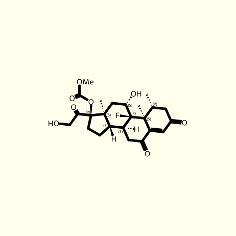 COC(=O)O[C@]1(C(=O)CO)CC[C@H]2[C@@H]3CC(=O)C4=CC(=O)C[C@@H](C)[C@]4(C)[C@@]3(F)[C@@H](O)C[C@@]21C